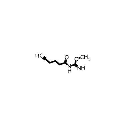 C#CCCCC(=O)NC(=N)OC